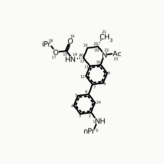 CCCNc1cccc(-c2ccc3c(c2)[C@H](NC(=O)OC(C)C)C[C@H](C)N3C(C)=O)c1